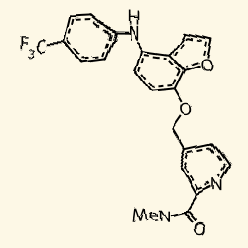 CNC(=O)c1cc(COc2ccc(Nc3ccc(C(F)(F)F)cc3)c3ccoc23)ccn1